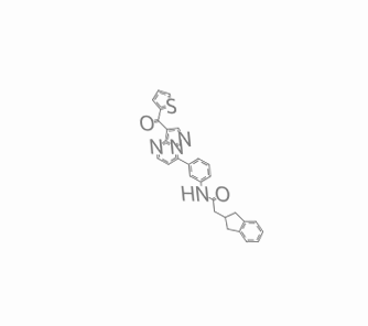 O=C(CC1Cc2ccccc2C1)Nc1cccc(-c2ccnc3c(C(=O)c4cccs4)cnn23)c1